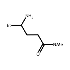 CCC(N)CCC(=O)NC